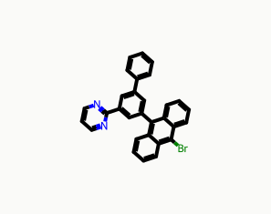 Brc1c2ccccc2c(-c2cc(-c3ccccc3)cc(-c3ncccn3)c2)c2ccccc12